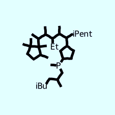 CCCC(C)C(C1CCC(P(C)CC(C)CC(C)CC)C1)C(C)C(CC)C(C)C(C)C1(C)C(C)CCC1(C)C